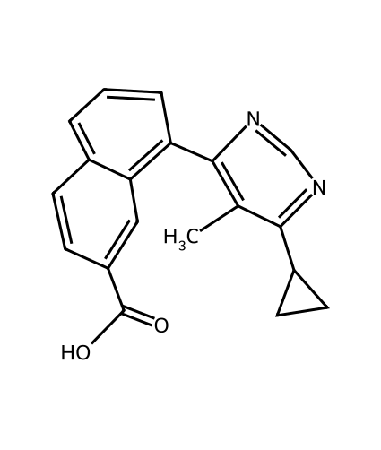 Cc1c(-c2cccc3ccc(C(=O)O)cc23)ncnc1C1CC1